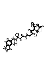 C=N/C(=N/C(=C)Cl)C1=C(C)C(CCCCCC(=O)NCc2ccc3c(c2)CCO3)C=N1